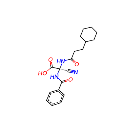 N#C[C@](NC(=O)CCC1CCCCC1)(NC(=O)c1ccccc1)C(=O)O